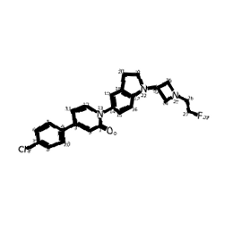 O=c1cc(-c2ccc(Cl)cc2)ccn1-c1ccc2c(c1)CCN2C1CN(CCF)C1